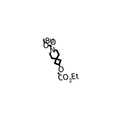 CCOC(=O)COC1CC2(CCN(C(=O)OC(C)(C)C)CC2)C1